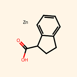 O=C(O)C1CCc2ccccc21.[Zn]